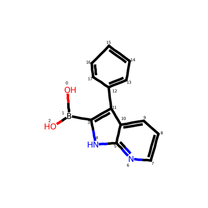 OB(O)c1[nH]c2ncccc2c1-c1ccccc1